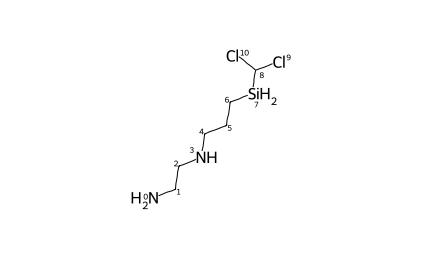 NCCNCCC[SiH2]C(Cl)Cl